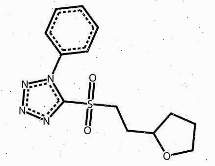 O=S(=O)(CCC1CCCO1)c1nnnn1-c1ccccc1